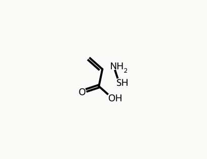 C=CC(=O)O.NS